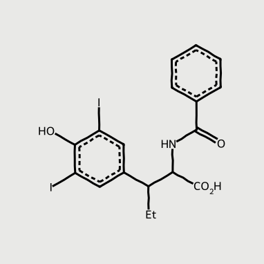 CCC(c1cc(I)c(O)c(I)c1)C(NC(=O)c1ccccc1)C(=O)O